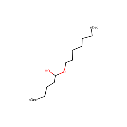 CCCCCCCCCCCCCCCCOC(O)CCCCCCCCCCCCC